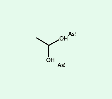 CC(O)O.[As].[As]